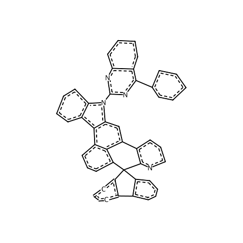 c1ccc(-c2nc(-n3c4ccccc4c4c5cccc6c5c(cc43)-c3cccnc3C63c4ccccc4-c4ccccc43)nc3ccccc23)cc1